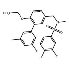 CN(Cc1ccc(OCC(=O)O)c(-c2cc(F)cc(F)c2)c1)S(=O)(=O)c1ccc(F)c(Cl)c1